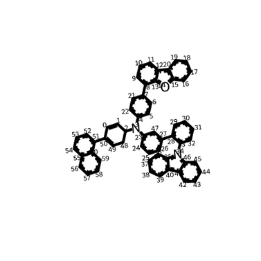 C1=CC(N(c2ccc(-c3cccc4c3oc3ccccc34)cc2)c2cccc(-c3ccccc3-n3c4ccccc4c4ccccc43)c2)CC=C1c1cccc2ccccc12